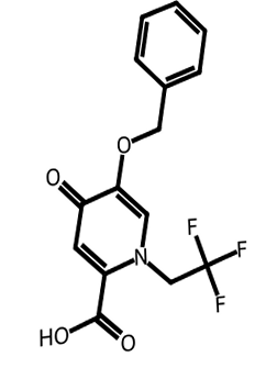 O=C(O)c1cc(=O)c(OCc2ccccc2)cn1CC(F)(F)F